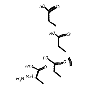 C=C.CCC(=O)O.CCC(=O)O.CCC(=O)O.CCC(=O)O.N.N